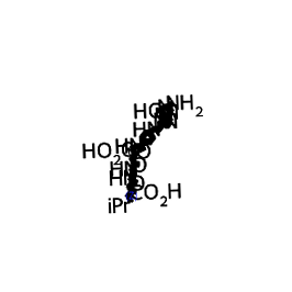 CC(C)C/C=C(/CC(=O)NCNC(=O)CC[C@H](NC(=O)c1ccc(NCc2cnc3nc(N)nc(O)c3n2)cc1)C(=O)O)C(=O)O